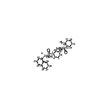 C[C@H](NC(=O)c1cccc(NC(=O)c2ccccc2I)c1)c1cccc2ccccc12